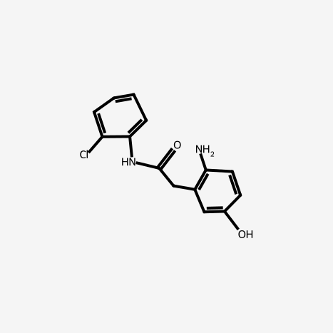 Nc1ccc(O)cc1CC(=O)Nc1ccccc1Cl